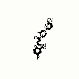 C[C@@H]1CN(c2cccc(C#N)n2)CCN1C(=O)CCc1nc2ccc(F)cc2c(=O)[nH]1